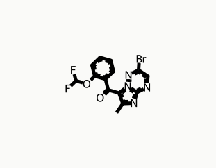 Cc1nc2ncc(Br)nn2c1C(=O)c1ccccc1OC(F)F